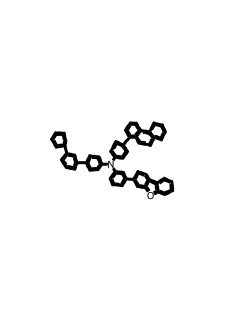 c1ccc(-c2cccc(-c3ccc(N(c4ccc(-c5cccc6c5ccc5ccccc56)cc4)c4cccc(-c5ccc6c(c5)oc5ccccc56)c4)cc3)c2)cc1